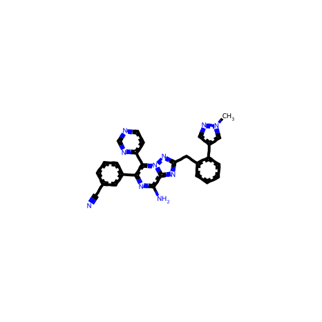 Cn1cc(-c2ccccc2Cc2nc3c(N)nc(-c4cccc(C#N)c4)c(-c4ccncn4)n3n2)cn1